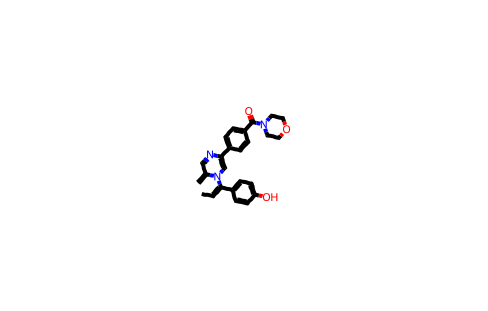 C=C1C=NC(c2ccc(C(=O)N3CCOCC3)cc2)=CN1/C(=C\C)c1ccc(O)cc1